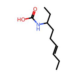 CC/C=C/CCC(CC)NC(=O)O